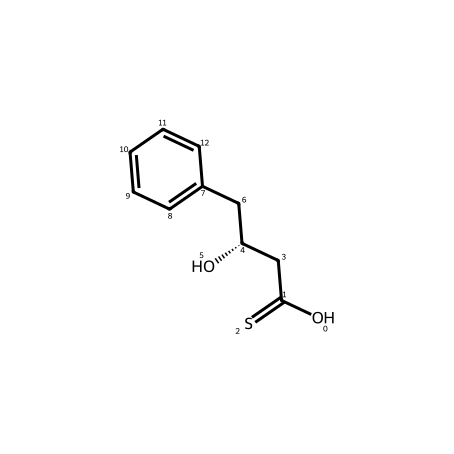 OC(=S)C[C@H](O)Cc1ccccc1